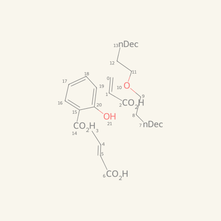 C=CC(=O)O.CC=CC(=O)O.CCCCCCCCCCCCOCCCCCCCCCCCC.O=C(O)c1ccccc1O